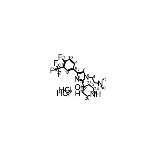 CN(C)CCn1cc(-c2ccc(F)c(C(F)(F)F)c2)nc1C1(O)CCNCC1.Cl.Cl